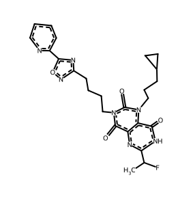 CC(F)c1nc2c(=O)n(CCCCc3noc(-c4ccccn4)n3)c(=O)n(CCCC3CC3)c2c(=O)[nH]1